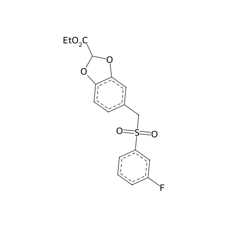 CCOC(=O)C1Oc2ccc(CS(=O)(=O)c3cccc(F)c3)cc2O1